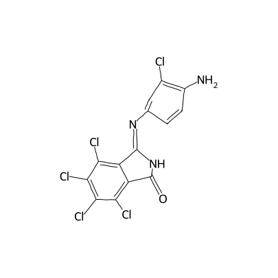 Nc1ccc(/N=C2\NC(=O)c3c(Cl)c(Cl)c(Cl)c(Cl)c32)cc1Cl